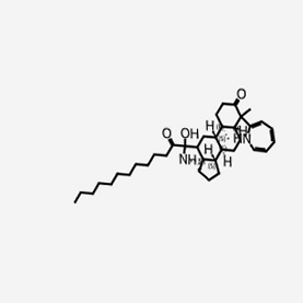 CCCCCCCCCCCC(=O)C(N)(O)C1C[C@H]2[C@@H](CC[C@H]3C(C)(C4=CC=CC=CN4)C(=O)CC[C@]23C)[C@@H]2CCC[C@@]12C